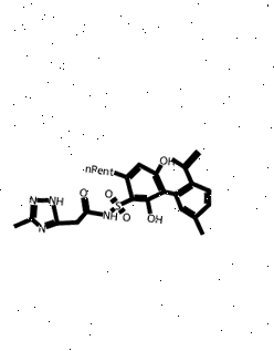 C=C(C)c1ccc(C)cc1-c1c(O)cc(CCCCC)c(S(=O)(=O)NC(=O)Cc2nc(C)n[nH]2)c1O